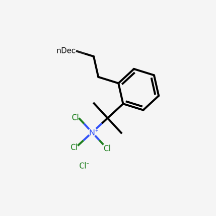 CCCCCCCCCCCCc1ccccc1C(C)(C)[N+](Cl)(Cl)Cl.[Cl-]